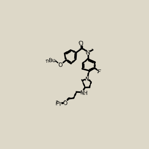 CCCCOc1ccc(C(=O)N(C)c2ccc(N3CCC(NCCCOC(C)C)C3)c(F)c2)cc1